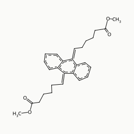 COC(=O)CCCCC=c1c2ccccc2c(=CCCCCC(=O)OC)c2ccccc12